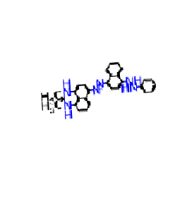 CC1(C)Nc2cccc3c(/N=N/c4ccc(NNc5ccccc5)c5ccccc45)ccc(c23)N1